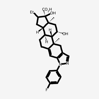 CCC1C[C@H]2[C@@H]3CCC4=Cc5c(cnn5-c5ccc(F)cc5)C[C@]4(C)[C@H]3[C@@H](O)C[C@]2(C)[C@@]1(O)C(=O)O